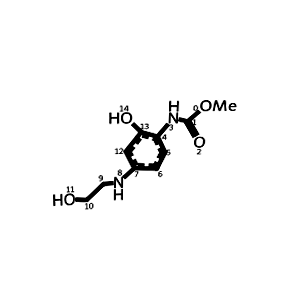 COC(=O)Nc1ccc(NCCO)cc1O